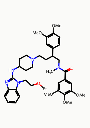 CCOCCn1c(NC2CCN(CCC(CN(C)C(=O)c3cc(OC)c(OC)c(OC)c3)c3ccc(OC)c(OC)c3)CC2)nc2ccccc21